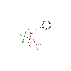 CC(OS(C)(=O)=O)(C(=O)OCc1ccccc1)C(F)(F)F